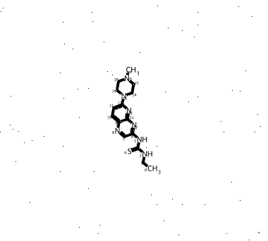 CCNC(=S)Nc1cnc2ccc(N3CCN(C)CC3)nc2n1